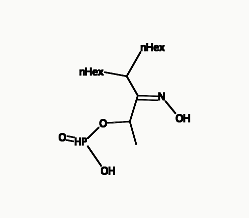 CCCCCCC(CCCCCC)C(=NO)C(C)O[PH](=O)O